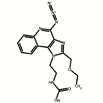 CCOCc1nc2c(N=[N+]=[N-])nc3ccccc3c2n1CCNC(=O)O